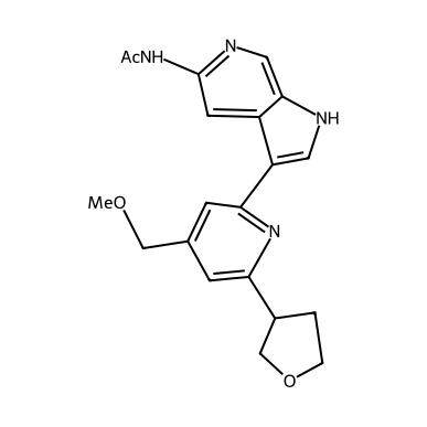 COCc1cc(-c2c[nH]c3cnc(NC(C)=O)cc23)nc(C2CCOC2)c1